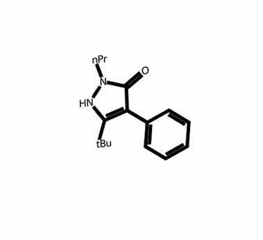 CCCn1[nH]c(C(C)(C)C)c(-c2ccccc2)c1=O